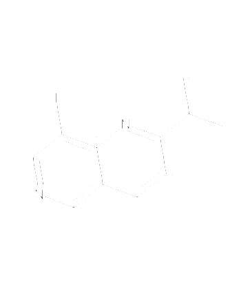 CC(C)c1ccc2cncc(I)c2n1